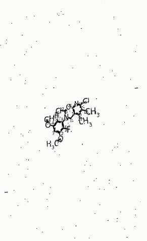 COc1cc(OC)c(F)c(N(Cc2cnc(Cl)c(C)c2C)C(=O)Cl)c1F